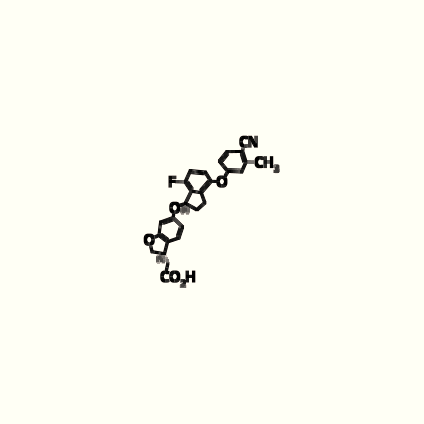 Cc1cc(Oc2ccc(F)c3c2CC[C@H]3Oc2ccc3c(c2)OC[C@H]3CC(=O)O)ccc1C#N